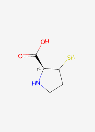 O=C(O)[C@@H]1NCCC1S